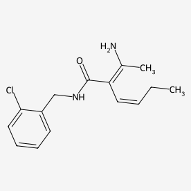 CC/C=C\C(C(=O)NCc1ccccc1Cl)=C(/C)N